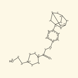 O=C(COc1ccc(C23CC4CC(CC(C4)C2)C3)cc1)N1CCN(CCO)CC1